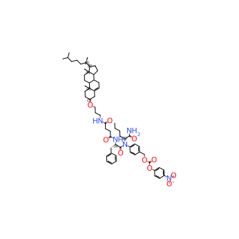 CCCC[C@@H](C(N)=O)N(C(=O)[C@H](Cc1ccccc1)NC(=O)CCC(=O)NCCCO[C@H]1CC[C@@]2(C)C(=CCC3C2CC[C@@]2(C)C3CC[C@@H]2[C@H](C)CCCC(C)C)C1)c1ccc(COC(=O)Oc2ccc([N+](=O)[O-])cc2)cc1